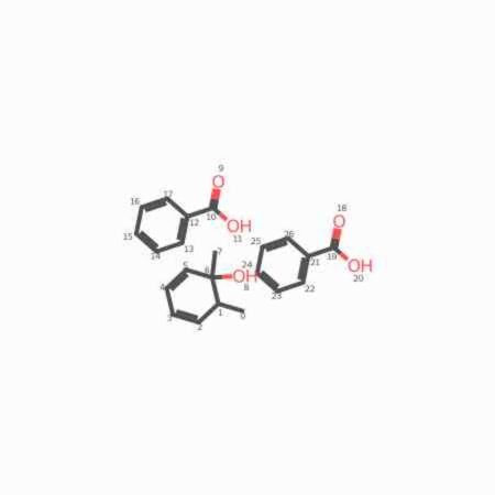 CC1C=CC=CC1(C)O.O=C(O)c1ccccc1.O=C(O)c1ccccc1